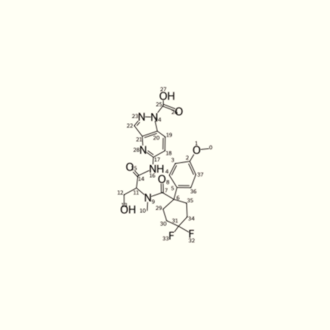 COc1ccc(C2(C(=O)N(C)C(CO)C(=O)Nc3ccc4c(cnn4C(=O)O)n3)CCC(F)(F)CC2)cc1